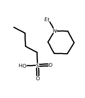 CCCCS(=O)(=O)O.CCN1CCCCC1